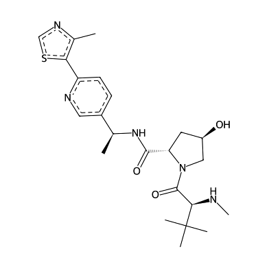 CN[C@H](C(=O)N1C[C@H](O)C[C@H]1C(=O)N[C@@H](C)c1ccc(-c2scnc2C)nc1)C(C)(C)C